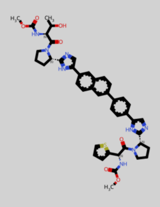 COC(=O)N[C@H](C(=O)N1CCC[C@H]1c1ncc(-c2ccc3cc(-c4ccc(-c5cnc([C@@H]6CCCN6C(=O)[C@H](NC(=O)OC)c6cccs6)[nH]5)cc4)ccc3c2)[nH]1)C(C)O